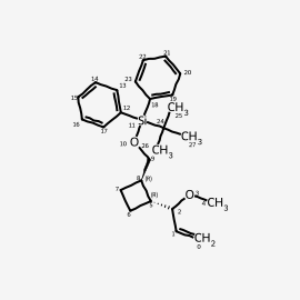 C=CC(OC)[C@@H]1CC[C@H]1CO[Si](c1ccccc1)(c1ccccc1)C(C)(C)C